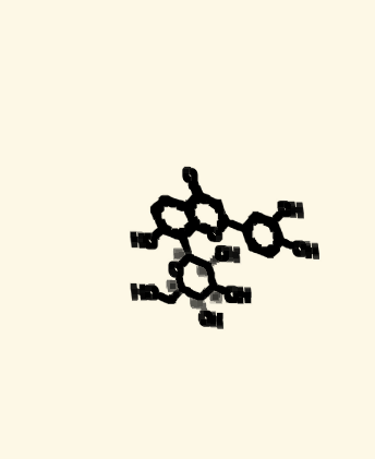 O=c1cc(-c2ccc(O)c(O)c2)oc2c([C@@H]3O[C@H](CO)[C@@H](O)[C@H](O)[C@H]3O)c(O)ccc12